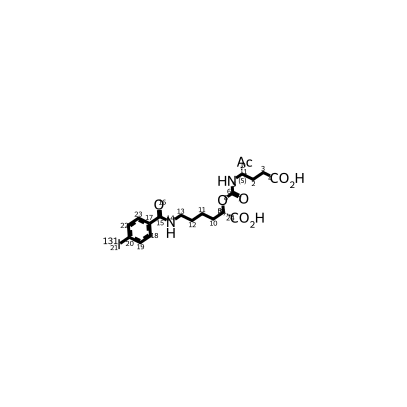 CC(=O)[C@H](CCC(=O)O)NC(=O)O[C@@H](CCCCNC(=O)c1ccc([131I])cc1)C(=O)O